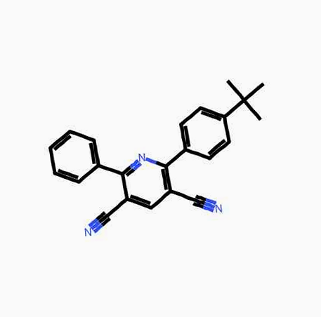 CC(C)(C)c1ccc(-c2nc(-c3ccccc3)c(C#N)cc2C#N)cc1